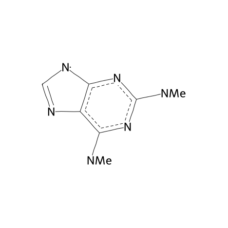 CNc1nc2c(c(NC)n1)N=C[N]2